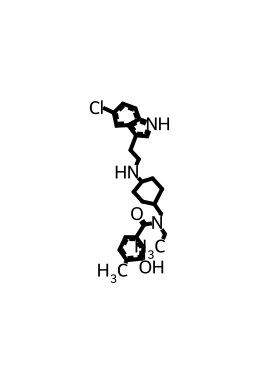 CCN(CC1CCC(NCCc2c[nH]c3ccc(Cl)cc23)CC1)C(=O)c1ccc(C)c(O)c1